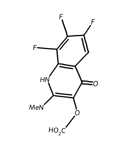 CNc1[nH]c2c(F)c(F)c(F)cc2c(=O)c1OC(=O)O